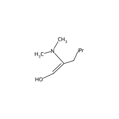 CC(C)CC(=CO)N(C)C